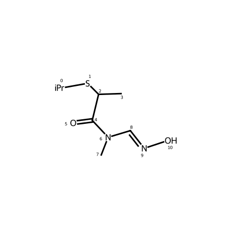 CC(C)SC(C)C(=O)N(C)C=NO